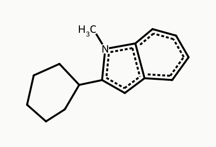 Cn1c(C2CCCCC2)cc2ccccc21